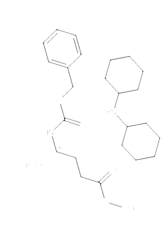 C1CCC(NC2CCCCC2)CC1.CC(C)(C)OC(=O)CC[C@@H](NC(=O)OCc1ccccc1)C(=O)O